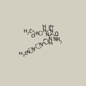 C=CC(=O)N1CC[C@@H](Nc2nc(Nc3ccc(N4CCC(N5CCN(C)CC5)CC4)cc3)c(C(N)=O)nc2C(C)C)C1